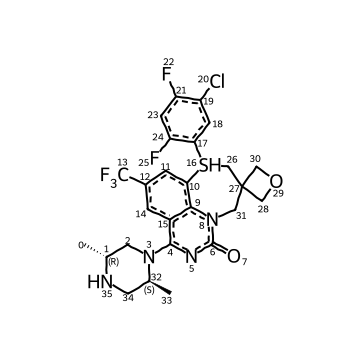 C[C@@H]1CN(c2nc(=O)n3c4c(cc(C(F)(F)F)cc24)[SH](c2cc(Cl)c(F)cc2F)CC2(COC2)C3)[C@@H](C)CN1